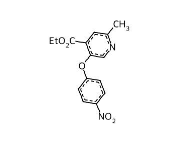 CCOC(=O)c1cc(C)ncc1Oc1ccc([N+](=O)[O-])cc1